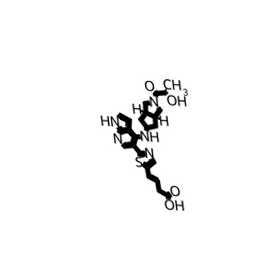 C[C@H](O)C(=O)N1C[C@H]2CC(Nc3c(-c4ncc(/C=C/CC(=O)O)s4)cnc4[nH]ccc34)C[C@H]2C1